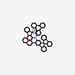 CC1(C)c2ccccc2-c2cccc(N(c3ccc4c5ccccc5c5ccccc5c4c3)c3cc4c(cc3-c3ccc5ccccc5c3)-c3ccccc3C43c4ccccc4-c4ccccc43)c21